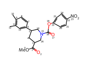 COC(=O)C1CC(c2ccc(C)c(C)c2)CN(C(=O)Oc2ccc([N+](=O)[O-])cc2)C1